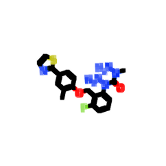 Cc1cc(-c2nccs2)ccc1OCc1c(F)cccc1N(N)C(=O)N(C)N